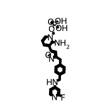 NC1C(c2cc(Cc3ccc(CNc4ccnc(F)c4)cc3)no2)=CC=CN1COP(=O)(O)O